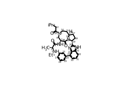 CCN[C@@H](C)C(=O)N[C@H]1CN(C(=O)CC(C)C)CC[C@H]2CC[C@@H](c3nc4c(-c5ccccc5)cccc4[nH]3)N2C1=O